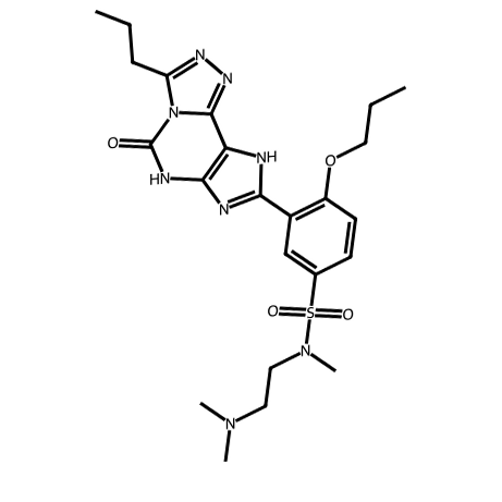 CCCOc1ccc(S(=O)(=O)N(C)CCN(C)C)cc1-c1nc2[nH]c(=O)n3c(CCC)nnc3c2[nH]1